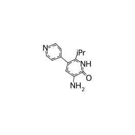 CC(C)c1[nH]c(=O)c(N)cc1-c1ccncc1